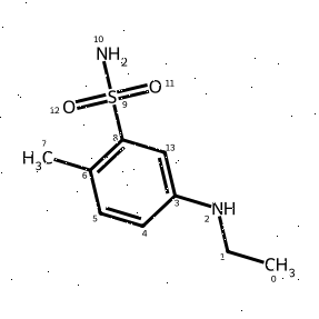 CCNc1ccc(C)c(S(N)(=O)=O)c1